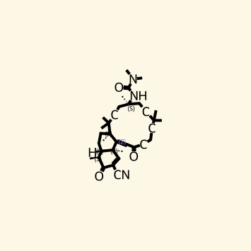 C[C@@H]1C(=O)C(C#N)=C[C@]2(C)/C3=C/C(=O)CCCC(C)(C)CC[C@](C)(NC(=O)N(C)C)CCC(C)(C)[C@]3(C)CC[C@@H]12